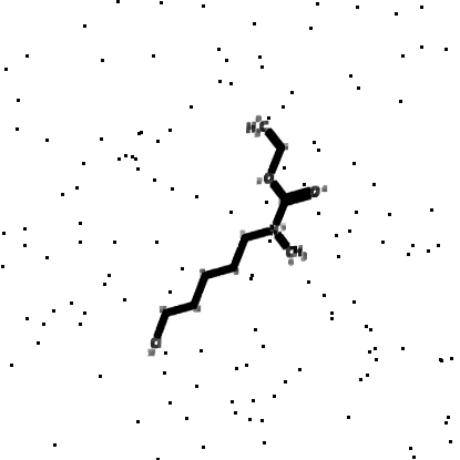 CCOC(=O)N(C)CCCCCCl